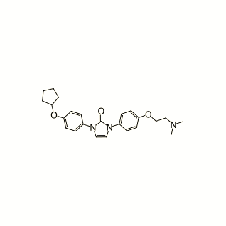 CN(C)CCOc1ccc(-n2ccn(-c3ccc(OC4CCCC4)cc3)c2=O)cc1